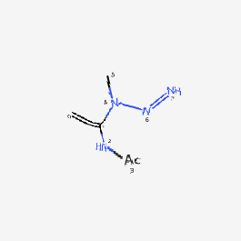 C=C(NC(C)=O)N(C)N=N